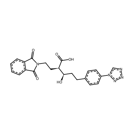 O=C(O)[C@H](CCN1C(=O)c2ccccc2C1=O)[C@H](O)CCc1ccc(-n2cnnn2)cc1